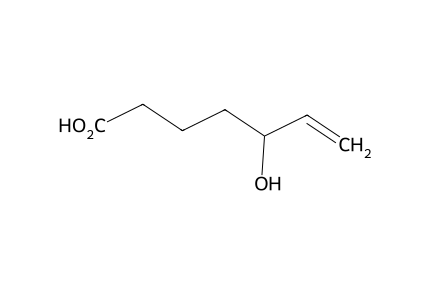 C=CC(O)CCCC(=O)O